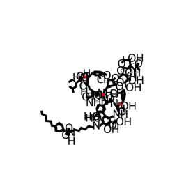 CCCCCCc1ccc(S(=O)(=O)NCCCCCCNCc2c(O)cc3c(c2O)-c2cc(ccc2O)[C@H]2CC(=O)[C@@H]4NC(=O)[C@H](CC(N)=O)CC(=O)[C@H](NC(=O)[C@H](CC)CC(C)C)[C@H](O)c5ccc(c(Cl)c5)Oc5cc4cc(c5O[C@@H]4O[C@H](CO)[C@@H](O)[C@H](O)[C@H]4O[C@H]4C[C@](C)(NC(C)=O)[C@H](O)[C@H](C)O4)Oc4ccc(cc4Cl)[C@@H](O)[C@H](NC2=O)C(=O)N[C@@H]3C(=O)O)cc1